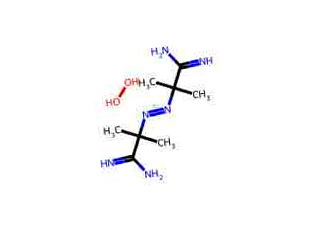 CC(C)(/N=N/C(C)(C)C(=N)N)C(=N)N.OO